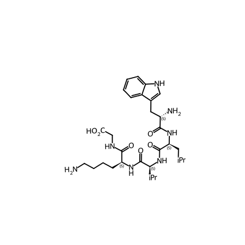 CC(C)C[C@H](NC(=O)[C@@H](N)Cc1c[nH]c2ccccc12)C(=O)N[C@H](C(=O)N[C@@H](CCCCN)C(=O)NCC(=O)O)C(C)C